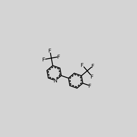 Fc1ccc(-c2cc(C(F)(F)F)ccn2)cc1C(F)(F)F